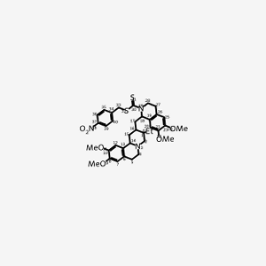 CCC1CN2CCc3cc(OC)c(OC)cc3C2CC1CC1c2cc(OC)c(OC)cc2CCN1C(=S)SCc1ccc([N+](=O)[O-])cc1